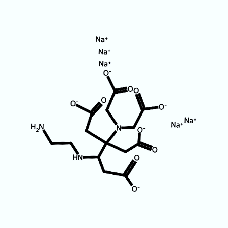 NCCNC(CC(=O)[O-])C(CC(=O)[O-])(CC(=O)[O-])N(CC(=O)[O-])CC(=O)[O-].[Na+].[Na+].[Na+].[Na+].[Na+]